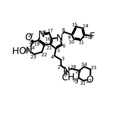 CN(CCCc1cn(Cc2ccc(F)cc2)c2cnc3c(c12)CCN(O)C3=O)CC1CCOCC1